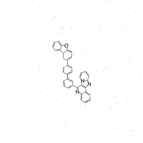 C1=C(c2ccc(-c3cccc(-c4nc5ccccc5c5nc6ccccn6c45)c3)cc2)CC2C(=C1)Oc1ccccc12